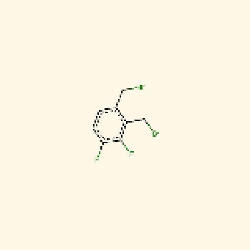 Fc1ccc(CBr)c(CBr)c1F